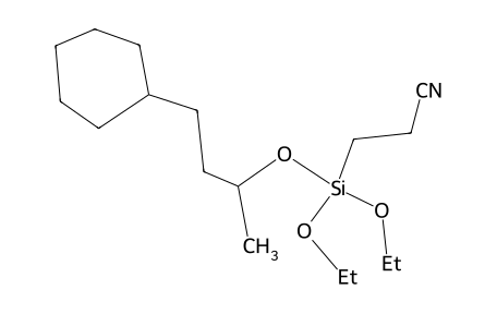 CCO[Si](CCC#N)(OCC)OC(C)CCC1CCCCC1